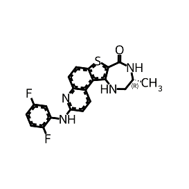 C[C@@H]1CNc2c(sc3ccc4nc(Nc5cc(F)ccc5F)ccc4c23)C(=O)N1